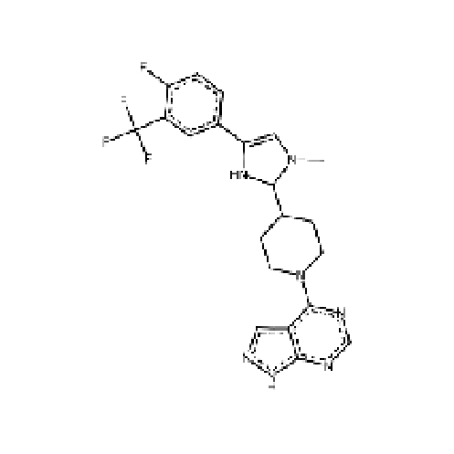 CN1C=C(c2ccc(F)c(C(F)(F)F)c2)NC1C1CCN(c2ncnc3[nH]ncc23)CC1